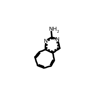 Nc1ncc2c(n1)C=CC=CC=C2